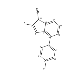 CC1=Cc2c(-c3ccc(C)cc3)cccc2[CH]1[Zr]